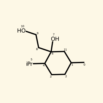 CC1CCC(C(C)C)C(O)(CCO)C1